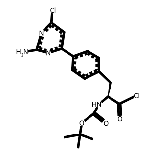 CC(C)(C)OC(=O)N[C@@H](Cc1ccc(-c2cc(Cl)nc(N)n2)cc1)C(=O)Cl